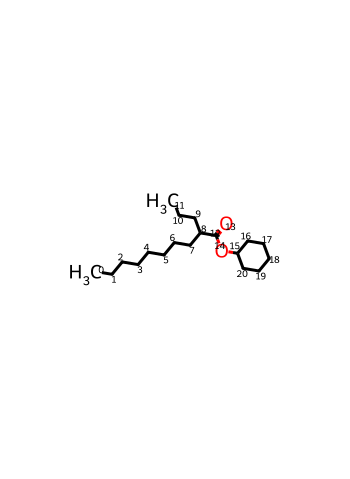 CCCCCCCCC(CCC)C(=O)OC1CCCCC1